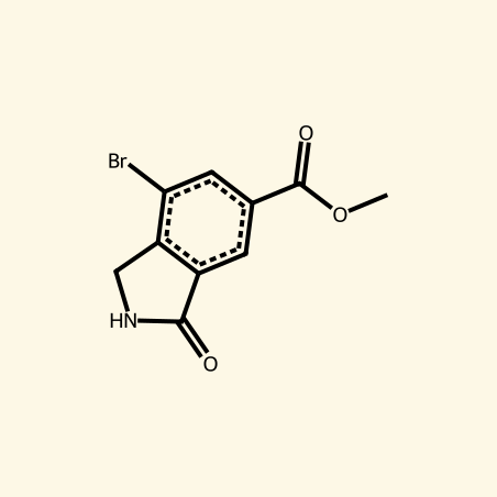 COC(=O)c1cc(Br)c2c(c1)C(=O)NC2